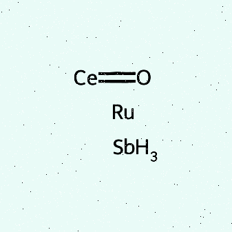 [O]=[Ce].[Ru].[SbH3]